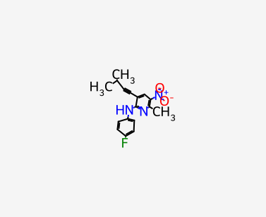 Cc1nc(Nc2ccc(F)cc2)c(C#CC(C)C)cc1[N+](=O)[O-]